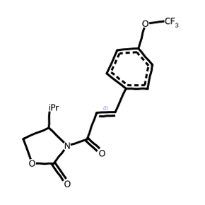 CC(C)C1COC(=O)N1C(=O)/C=C/c1ccc(OC(F)(F)F)cc1